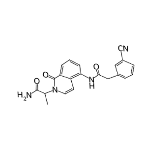 CC(C(N)=O)n1ccc2c(NC(=O)Cc3cccc(C#N)c3)cccc2c1=O